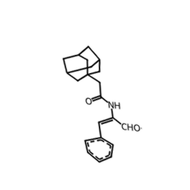 O=[C]C(=Cc1ccccc1)NC(=O)CC12CC3CC(CC(C3)C1)C2